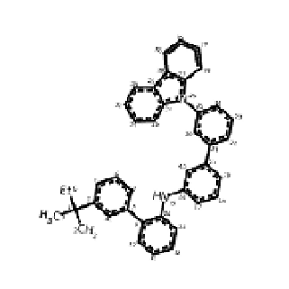 CCC(C)(C)c1cccc(-c2ccccc2Nc2cccc(-c3cccc(-n4c5c(c6ccccc64)C=C=C=C5)c3)c2)c1